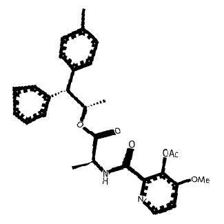 COc1ccnc(C(=O)N[C@@H](C)C(=O)O[C@@H](C)[C@H](c2ccccc2)c2ccc(C)cc2)c1OC(C)=O